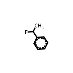 C[C](F)c1ccccc1